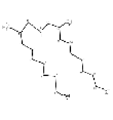 CC(CCCCCCCO)CNCC(C)CCCCCCCO